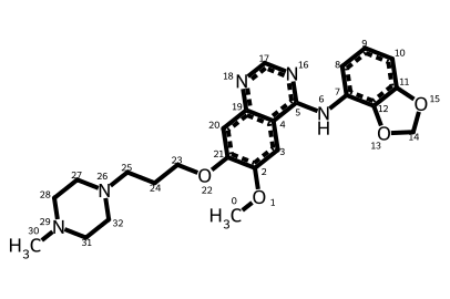 COc1cc2c(Nc3cccc4c3OCO4)ncnc2cc1OCCCN1CCN(C)CC1